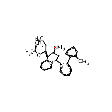 C=C(C)O/C(CC)=C(/CC)c1cccc[n+]1C(CCC)[n+]1ccccc1-c1ccccc1C